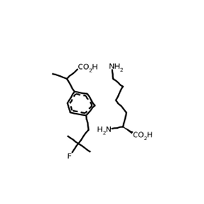 CC(C(=O)O)c1ccc(CC(C)(C)F)cc1.NCCCC[C@H](N)C(=O)O